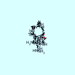 CSCCC1NC(=O)C(NC(=O)[C@H](CC(N)=O)NC(=O)[C@H](CCCNC(=N)N)NC(=O)[C@H](CS)NC(=O)[C@H](CC(C)C)NC(C)=O)CSCC(C)(C)C(C)(C)CSC[C@@H](C)NC(=O)[C@@H](Cc2cnc[nH]2)NC(=O)C(CC(C)C)NC1=O